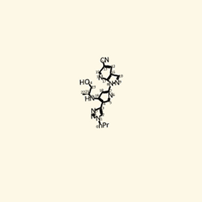 CCCn1cc(-c2cnc(-n3ncc4cc(C#N)cnc43)cc2N[C@@H](C)CO)nn1